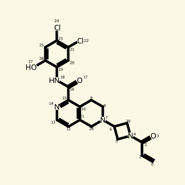 C=CC(=O)N1CC(N2CCc3c(ccnc3C(=O)Nc3cc(Cl)c(Cl)cc3O)C2)C1